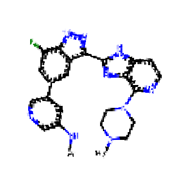 CC(C)Nc1cncc(-c2cc(F)c3[nH]nc(-c4nc5c(N6CCN(C)CC6)nccc5[nH]4)c3c2)c1